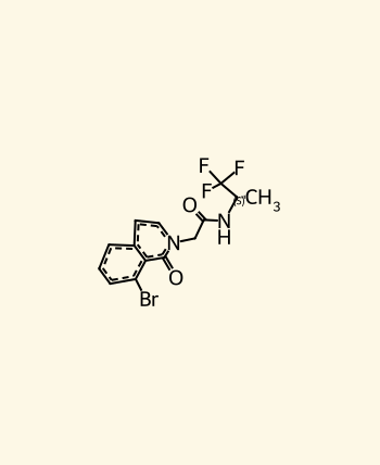 C[C@H](NC(=O)Cn1ccc2cccc(Br)c2c1=O)C(F)(F)F